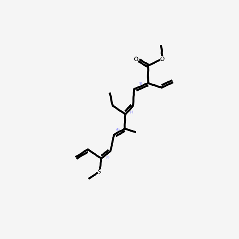 C=C\C(=C/C=C(C)/C(=C/C=C(\C=C)C(=O)OC)CC)SC